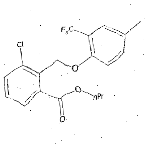 CCCOC(=O)c1cccc(Cl)c1COc1ccc(C)cc1C(F)(F)F